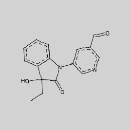 CCC1(O)C(=O)N(c2cncc(C=O)c2)c2ccccc21